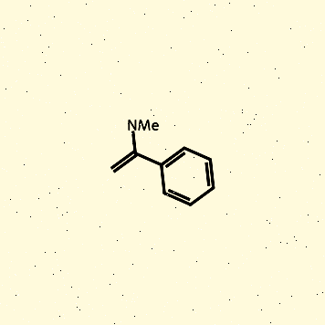 C=C(NC)c1ccccc1